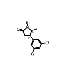 CCN1C(=O)C[C@H](c2cc(Cl)cc(Cl)c2)[C@@H]1C